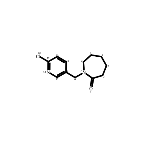 O=C1CCCCCN1Cc1ccc(Cl)nc1